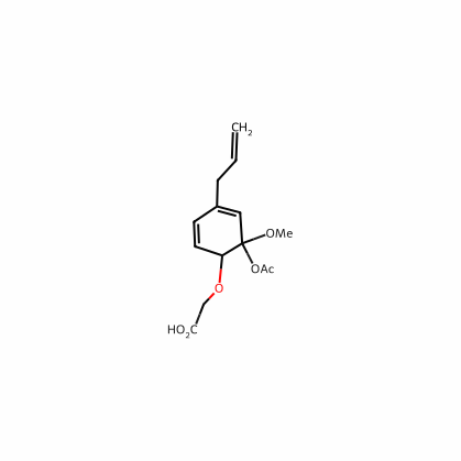 C=CCC1=CC(OC)(OC(C)=O)C(OCC(=O)O)C=C1